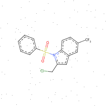 O=S(=O)(c1ccccc1)n1c(CCl)cc2cc(C(F)(F)F)ccc21